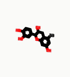 O=Nc1cc(O)cc2c1CC(O)C(c1ccc(O)c(O)c1)O2